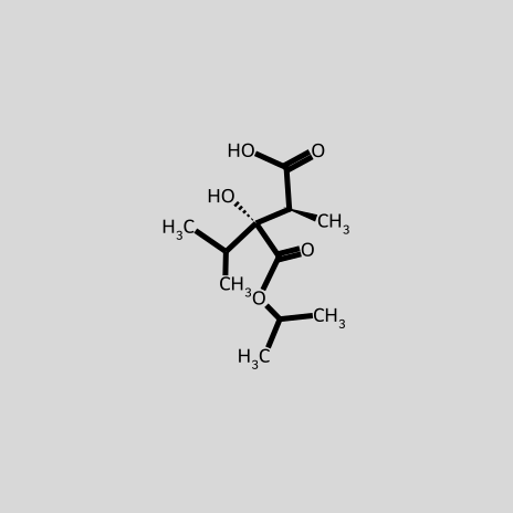 CC(C)OC(=O)[C@@](O)(C(C)C)[C@H](C)C(=O)O